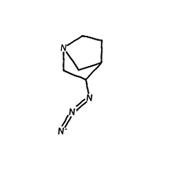 [N-]=[N+]=NC1CN2CCC1C2